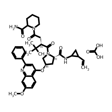 C=CC1CC1NC(=O)[C@@H]1C[C@@H](Oc2cc(-c3ccccc3)nc3cc(OC)ccc23)CN1C(=O)[C@@H](CC(=O)N1CCCCC1C(N)=O)C(C)(C)C.O=C(O)O